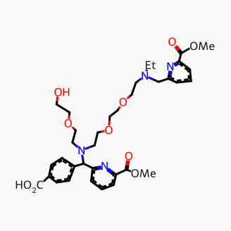 CCN(CCOCCOCCN(CCOCCO)C(c1ccc(C(=O)O)cc1)c1cccc(C(=O)OC)n1)Cc1cccc(C(=O)OC)n1